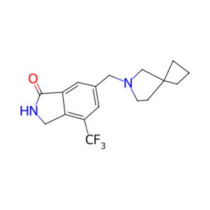 O=C1NCc2c1cc(CN1CCC3(CCC3)C1)cc2C(F)(F)F